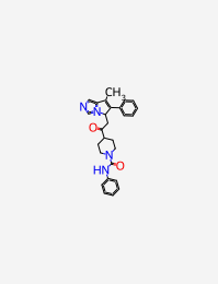 CC1=C(c2ccccc2)C(CC(=O)C2CCN(C(=O)Nc3ccccc3)CC2)n2cncc21